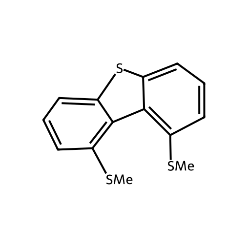 CSc1cccc2sc3cccc(SC)c3c12